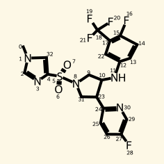 Cn1cnc(S(=O)(=O)N2CC(Nc3ccc(F)c(C(F)(F)F)c3)C(c3ccc(F)cn3)C2)c1